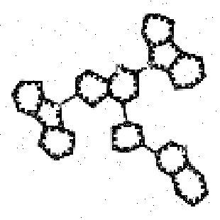 c1cc(-c2cnc3ccccc3c2)cc(-c2cc(-n3c4ccccc4c4ccccc43)nc3ccc(-n4c5ccccc5c5ccccc54)cc23)c1